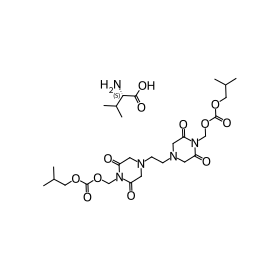 CC(C)COC(=O)OCN1C(=O)CN(CCN2CC(=O)N(COC(=O)OCC(C)C)C(=O)C2)CC1=O.CC(C)[C@H](N)C(=O)O